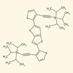 CC(C)[Si](C#Cc1ccsc1-c1cc2sc(-c3sccc3C#C[Si](C(C)C)(C(C)C)C(C)C)cc2s1)(C(C)C)C(C)C